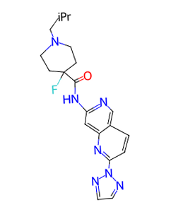 CC(C)CN1CCC(F)(C(=O)Nc2cc3nc(-n4nccn4)ccc3cn2)CC1